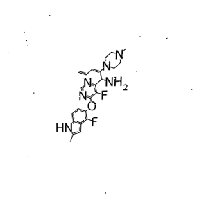 C=C/C=C(\C(N)c1ncnc(Oc2ccc3[nH]c(C)cc3c2F)c1F)N1CCN(C)CC1